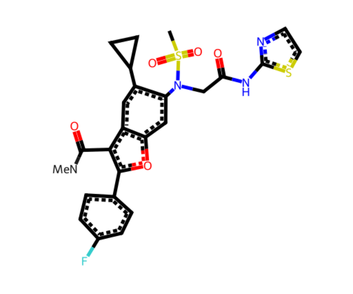 CNC(=O)c1c(-c2ccc(F)cc2)oc2cc(N(CC(=O)Nc3nccs3)S(C)(=O)=O)c(C3CC3)cc12